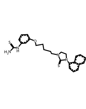 NC(=S)Nc1cccc(OCCCCCN2CCN(c3cccc4ccccc34)C2=S)c1